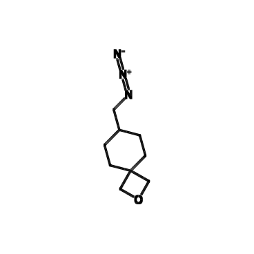 [N-]=[N+]=NCC1CCC2(CC1)COC2